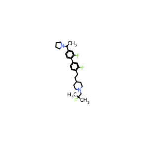 C=C(c1ccc(-c2ccc(CCC3CCN(CC(C)(C)F)CC3)c(F)c2)c(F)c1)N1CCCC1